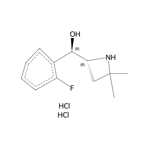 CC1(C)C[C@H]([C@H](O)c2ccccc2F)N1.Cl.Cl